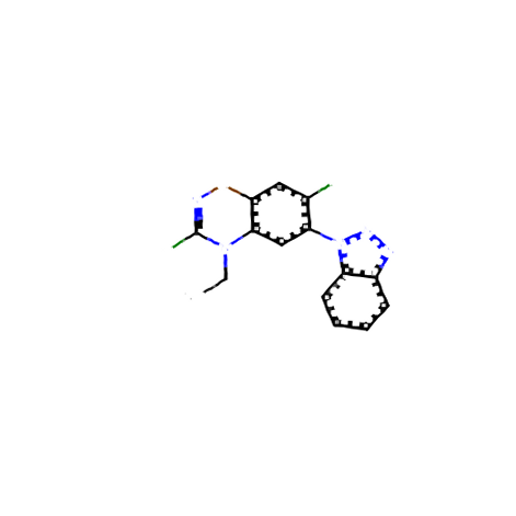 N#CCN1C(Br)=NSc2cc(Br)c(-n3nnc4ccccc43)cc21